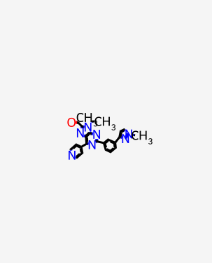 CCn1c(C(C)=O)nc2c(-c3ccncc3)nc(-c3cccc(-c4ccn(C)n4)c3)nc21